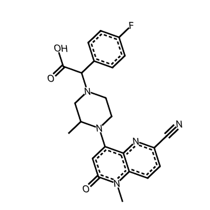 CC1CN(C(C(=O)O)c2ccc(F)cc2)CCN1c1cc(=O)n(C)c2ccc(C#N)nc12